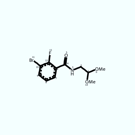 COC(CNC(=O)c1cccc(Br)c1F)OC